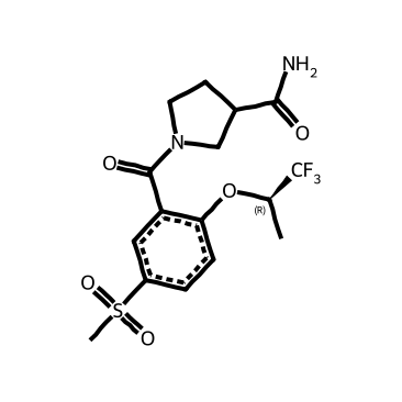 C[C@@H](Oc1ccc(S(C)(=O)=O)cc1C(=O)N1CCC(C(N)=O)C1)C(F)(F)F